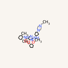 CCCN1CCN(c2ccc(Nc3ncc(C(=O)Nc4c(C)cccc4C)c(Oc4ccccc4OCC)n3)cc2)CC1